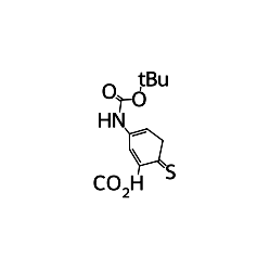 CC(C)(C)OC(=O)NC1=CCC(=S)C(C(=O)O)=C1